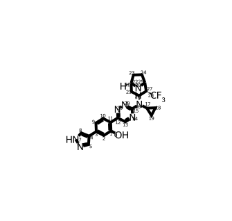 Oc1cc(-c2cn[nH]c2)ccc1-c1cnc(N(C2CC2)[C@@H]2C[C@H]3CCC(N3)[C@@H]2C(F)(F)F)nn1